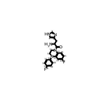 NC(Cc1c[nH]cn1)C(=O)N1CCN(c2ccc(F)cc2)c2cc(F)ccc21